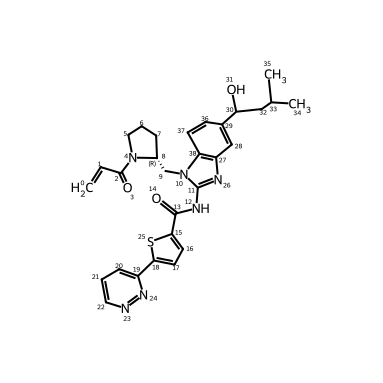 C=CC(=O)N1CCC[C@@H]1Cn1c(NC(=O)c2ccc(-c3cccnn3)s2)nc2cc(C(O)CC(C)C)ccc21